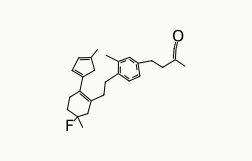 CC(=C=O)CCc1ccc(CCC2=C(C3=CC=C(C)C3)CCC(C)(F)C2)c(C)c1